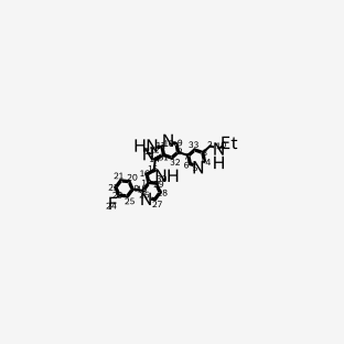 CCNCc1cncc(-c2cnc3[nH]nc(-c4cc5c(-c6cccc(F)c6)nccc5[nH]4)c3c2)c1